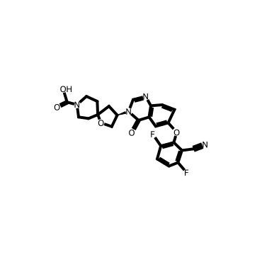 N#Cc1c(F)ccc(F)c1Oc1ccc2ncn([C@H]3COC4(CCN(C(=O)O)CC4)C3)c(=O)c2c1